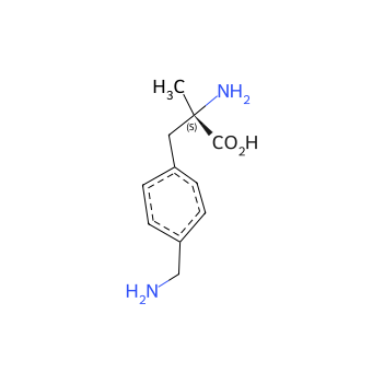 C[C@](N)(Cc1ccc(CN)cc1)C(=O)O